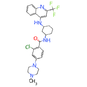 CN1CCN(c2ccc(C(=O)N[C@@H]3CCC[C@H](Nc4cc(C(F)(F)F)nc5ccccc45)C3)c(Cl)c2)CC1